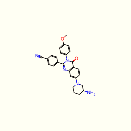 COc1ccc(-n2c(-c3ccc(C#N)cc3)nc3cc(N4CCC[C@H](N)C4)ccc3c2=O)cc1